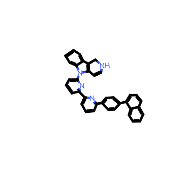 C1=Cc2c(c3ccccc3n2-c2cccc(-c3cccc(-c4ccc(-c5cccc6ccccc56)cc4)n3)n2)CN1